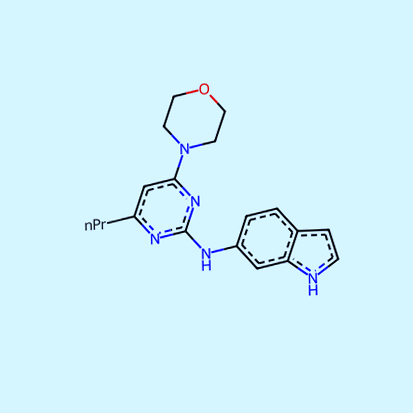 CCCc1cc(N2CCOCC2)nc(Nc2ccc3cc[nH]c3c2)n1